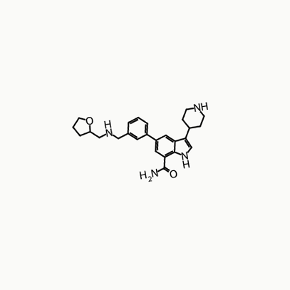 NC(=O)c1cc(-c2cccc(CNCC3CCCO3)c2)cc2c(C3CCNCC3)c[nH]c12